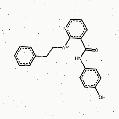 O=C(Nc1ccc(O)cc1)c1cccnc1NCCc1ccccc1